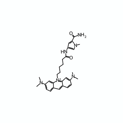 CN(C)c1ccc2cc3ccc(N(C)C)cc3[n+](CCCCCC(=O)Nc3cc(C(N)=O)n(C)c3)c2c1